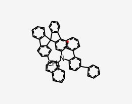 Cc1ccc2c(c1)C1(c3ccccc3-2)c2ccccc2-c2ccc(N(c3ccc(-c4ccccc4)cc3-c3ccccc3)c3cccc4ccccc34)cc21